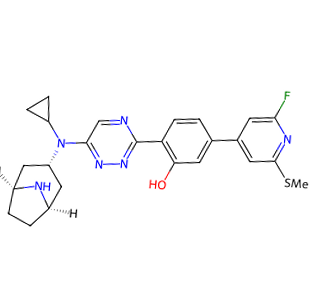 CSc1cc(-c2ccc(-c3ncc(N(C4CC4)[C@@H]4C[C@H]5CC[C@@H](C4)N5)nn3)c(O)c2)cc(F)n1